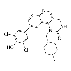 CN1CCC(CN2C(=O)NCc3cnc4ccc(-c5cc(Cl)c(O)c(Cl)c5)cc4c32)CC1